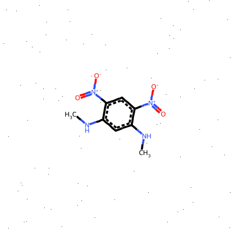 CNc1cc(NC)c([N+](=O)[O-])cc1[N+](=O)[O-]